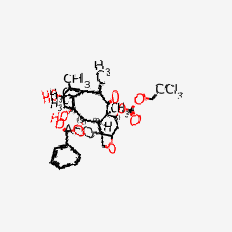 CC(=O)OC12COC1C[C@H](OC(=O)OCC(Cl)(Cl)Cl)[C@@]1(C)C(=O)C(C)C3=C(C)C(O)C[C@@](O)([C@@H](OC(=O)c4ccccc4)[C@H]21)C3(C)C